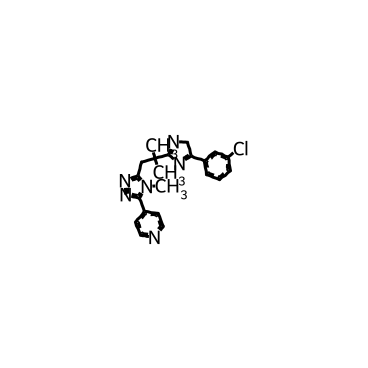 Cn1c(CC(C)(C)C2=NCC(c3cccc(Cl)c3)=N2)nnc1-c1ccncc1